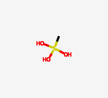 CS(O)(O)O